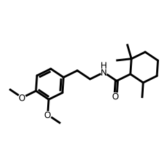 COc1ccc(CCNC(=O)C2C(C)CCCC2(C)C)cc1OC